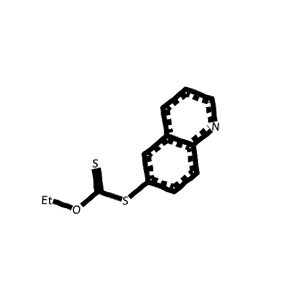 CCOC(=S)Sc1ccc2ncccc2c1